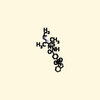 C/C=C\C=C(/C)c1nc(NC(=O)c2ccc(S(=O)(=O)N3CCC4=C3C=CCC4)cc2)sc1C